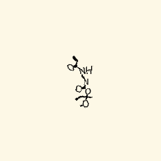 C=CC(=O)NC=NC(=O)OC(C)(CC)OC